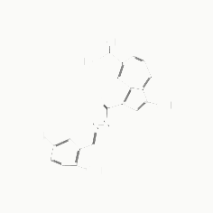 Cc1cc(C(=O)N/N=C/c2cc(Cl)ccc2O)c2cc(C(C)C)cccc1-2